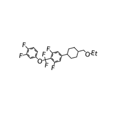 CCOCC1CCC(c2cc(F)c(C(F)(F)Oc3ccc(F)c(F)c3)c(F)c2)CC1